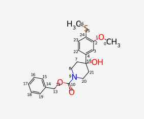 COc1cc(C2(O)CCN(C(=O)OCc3ccccc3)CC2)ccc1SC